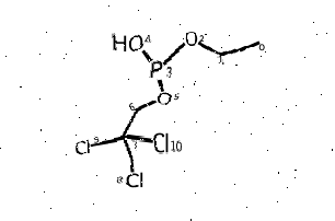 CCOP(O)OCC(Cl)(Cl)Cl